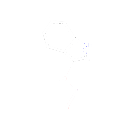 O=POc1c[nH]c2ccccc12